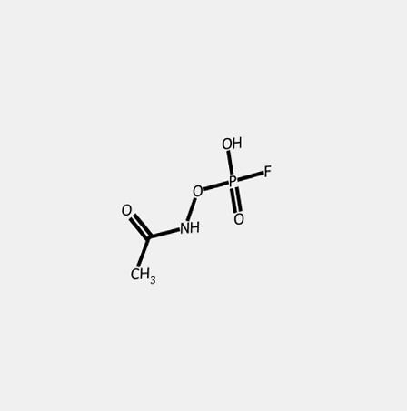 CC(=O)NOP(=O)(O)F